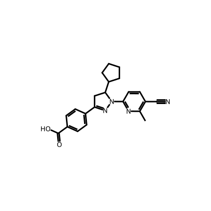 Cc1nc(N2N=C(c3ccc(C(=O)O)cc3)CC2C2CCCC2)ccc1C#N